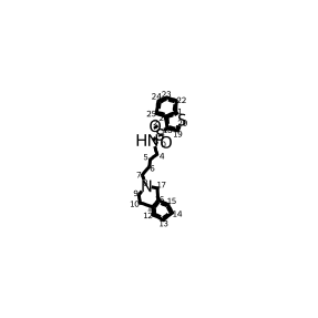 O=S(=O)(NCCCCN1CCc2ccccc2C1)c1csc2ccccc12